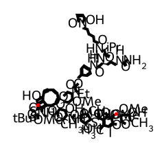 CCN(C(=O)OCc1ccc(NC(=O)[C@H](CCCNC(N)=O)NC(=O)[C@@H](NC(=O)CCCCCN2C(=O)C=CC2O)C(C)C)cc1)[C@H]1CO[C@@H](O[C@H]2[C@H](O[C@H]3C#C/C=C\C#C[C@]4(O)CC(=O)C(NC(=O)OC)=C3/C4=C\CSSC(C)(C)C)O[C@H](C)[C@@H](NO[C@H]3C[C@H](O)[C@H](SC(=O)c4c(C)c(I)c(O[C@@H]5O[C@@H](C)[C@H](O)[C@@H](OC)[C@H]5O)c(OC)c4OC)[C@@H](C)O3)[C@@H]2O)C[C@@H]1OC